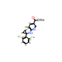 COC(=O)c1cnc(NC2(c3c(F)cccc3F)CC2)c(F)c1